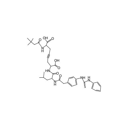 CC(C)CC(NC(=O)Cc1ccc(NC(=S)Nc2ccccc2)cc1)C(=O)NC(CC#CCC(NC(=O)CC(C)(C)C)C(=O)O)C(=O)O